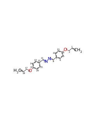 C=CCOc1ccc(C=NN=Cc2ccc(OCC=C)cc2)cc1